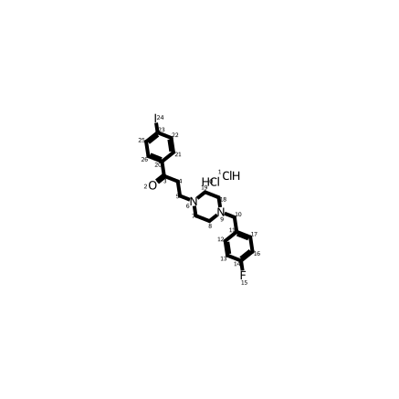 Cl.Cl.O=C(CCN1CCN(Cc2ccc(F)cc2)CC1)c1ccc(I)cc1